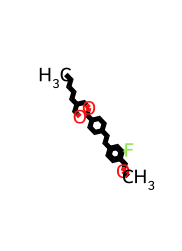 CCCCCC1COC(C2CCC(CCc3ccc(COC)c(F)c3)CC2)OC1